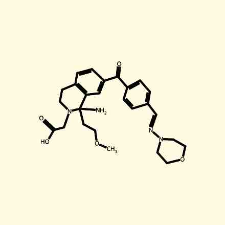 COCCC1(N)c2cc(C(=O)c3ccc(C=NN4CCOCC4)cc3)ccc2CCN1CC(=O)O